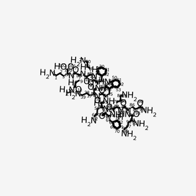 NCCC[C@H](NC(=O)[C@@H](CCC(N)=O)NC(=O)[C@H](CCCN)NC(=O)[C@@H](Cc1ccccc1)NC(=O)[C@H](CCCN)NC(=O)[C@@H](Cc1c[nH]c2ccccc12)NC(=O)[C@H](CCCN)NC(=O)[C@@H](Cc1ccccc1)NC(=O)[C@H](CCCN)NC(=O)[C@@H](CCC(N)=O)NC(=O)[C@@H](N)CCCN)C(=O)O